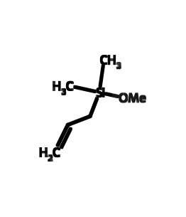 [CH2]O[Si](C)(C)CC=C